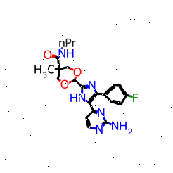 CCCNC(=O)C1(C)COC(c2nc(-c3ccc(F)cc3)c(-c3ccnc(N)n3)[nH]2)OC1